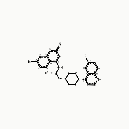 C[C@H](C[C@H]1CC[C@@H](c2ccnc3ccc(F)cc32)CC1)Nc1cc(=O)oc2cc(Br)ccc12